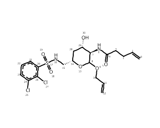 C=CCCC(=O)N[C@H]1C(OCC=C)O[C@H](CNS(=O)(=O)c2cccc(Cl)c2Cl)C[C@@H]1O